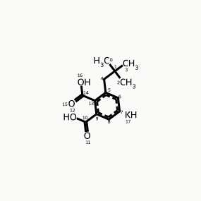 CC(C)(C)Cc1cccc(C(=O)O)c1C(=O)O.[KH]